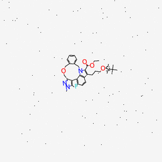 CCOC(=O)c1c(CCCO[Si](C)(C)C(C)(C)C)c2ccc(F)c3c2n1Cc1ccccc1COCc1nn(C)c(C)c1-3